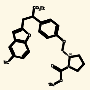 CCOC(=O)C(Cc1cc2cc(C#N)ccc2o1)c1ccc(OC[C@@H]2CCCN2C(=O)OC(C)(C)C)cc1